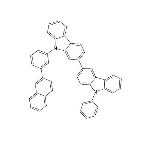 c1ccc(-n2c3ccccc3c3cc(-c4ccc5c6ccccc6n(-c6cccc(-c7ccc8ccccc8c7)c6)c5c4)ccc32)cc1